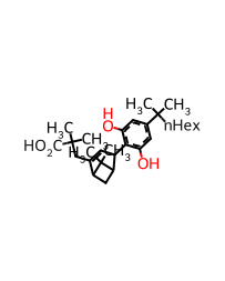 CCCCCCC(C)(C)c1cc(O)c(C2C=C(CC(C)(C)C(=O)O)C3CC2C3(C)C)c(O)c1